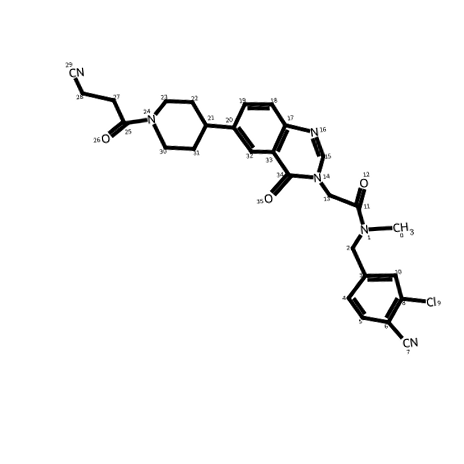 CN(Cc1ccc(C#N)c(Cl)c1)C(=O)Cn1cnc2ccc(C3CCN(C(=O)CCC#N)CC3)cc2c1=O